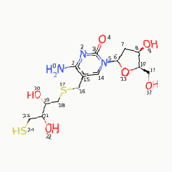 Nc1nc(=O)n([C@H]2C[C@@H](O)[C@@H](CO)O2)cc1CSCC(O)C(O)CS